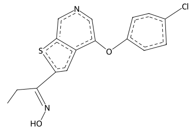 CCC(=NO)c1cc2c(Oc3ccc(Cl)cc3)cncc2s1